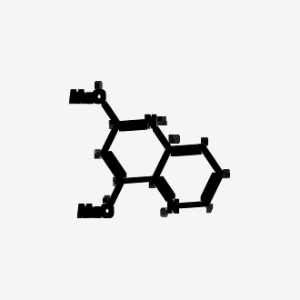 COc1cc(OC)c2ncccc2n1